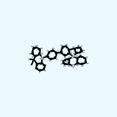 CC1(C)c2ccccc2N(c2ccc(-c3ccc4c(c3)[Si]3(c5ccccc5Oc5ccccc53)c3ccccc3-4)cc2)c2ccccc21